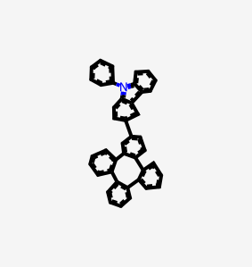 c1ccc(-n2c3ccccc3c3cc(-c4ccc5c(c4)-c4ccccc4-c4ccccc4-c4ccccc4-5)ccc32)cc1